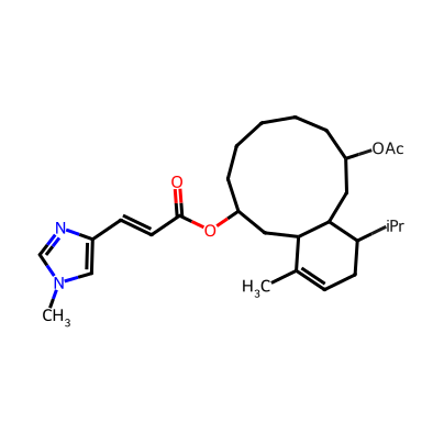 CC(=O)OC1CCCCCC(OC(=O)C=Cc2cn(C)cn2)CC2C(C)=CCC(C(C)C)C2C1